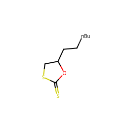 CCCCCCC1CSC(=S)O1